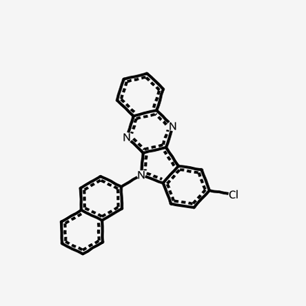 Clc1ccc2c(c1)c1nc3ccccc3nc1n2-c1ccc2ccccc2c1